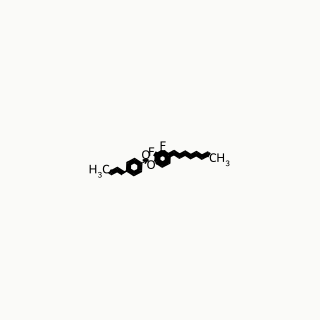 CCCCCCCCc1ccc(OC(=O)[C@H]2CC[C@H](CCCC)CC2)c(F)c1F